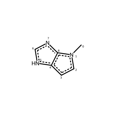 Cn1ccc2[nH]cnc21